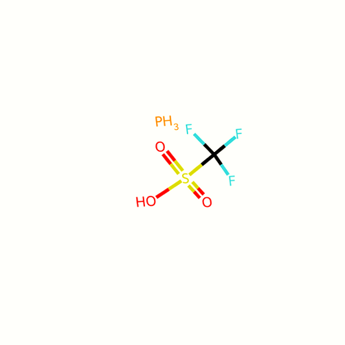 O=S(=O)(O)C(F)(F)F.P